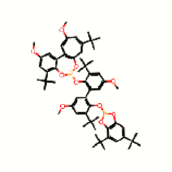 COC1=Cc2c(op(Oc3c(-c4cc(OC)cc(C(C)(C)C)c4OP4Oc5cc(C(C)(C)C)cc(C(C)(C)C)c5O4)cc(OC)cc3C(C)(C)C)oc3c(C(C)(C)C)cc(OC)cc23)CC(C(C)(C)C)=C1